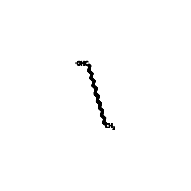 C=CCCCCC=CC=CCCCCCCC[C]=O